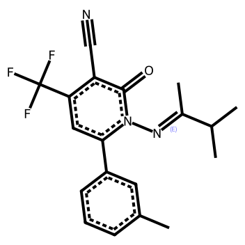 C/C(=N\n1c(-c2cccc(C)c2)cc(C(F)(F)F)c(C#N)c1=O)C(C)C